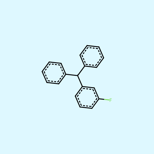 Fc1cccc([C](c2ccccc2)c2ccccc2)c1